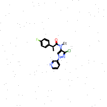 CCN(C(=O)C(C)c1ccc(F)cc1)c1cn(-c2cccnc2)nc1Cl